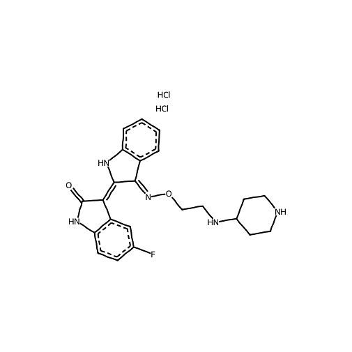 Cl.Cl.O=C1Nc2ccc(F)cc2/C1=C1/Nc2ccccc2/C1=N\OCCNC1CCNCC1